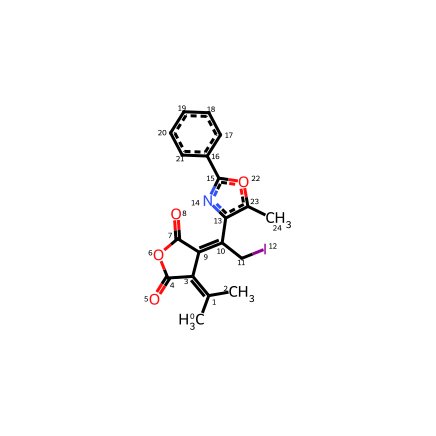 CC(C)=C1C(=O)OC(=O)C1=C(CI)c1nc(-c2ccccc2)oc1C